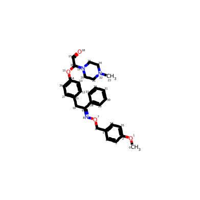 COc1ccc(CON=C(Cc2ccc(OC(C=O)N3CCN(C)CC3)cc2)c2ccccc2)cc1